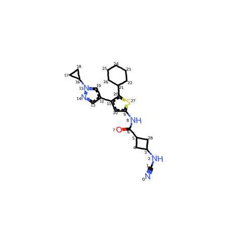 N#CNC1CC(C(=O)Nc2cc(-c3cnn(C4CC4)c3)c(C3CCCCC3)s2)C1